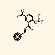 O=C(O)c1ccc(OB(F)F)c(C(=O)C=C[C]23[CH]4[CH]5[CH]6[CH]2[Fe]56432789[CH]3[CH]2[CH]7[CH]8[CH]39)c1